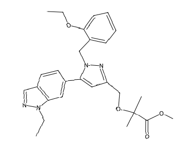 CCOc1ccccc1Cn1nc(COC(C)(C)C(=O)OC)cc1-c1ccc2cnn(CC)c2c1